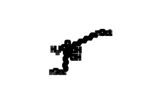 CCCCCCCCC=CCCCCCCCC(=O)C(CCCCCCCCCCCCCCCC)(OP)C(O)CO